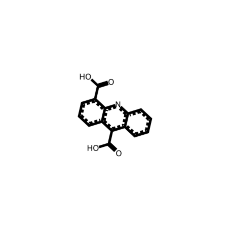 O=C(O)c1c2ccccc2nc2c(C(=O)O)cccc12